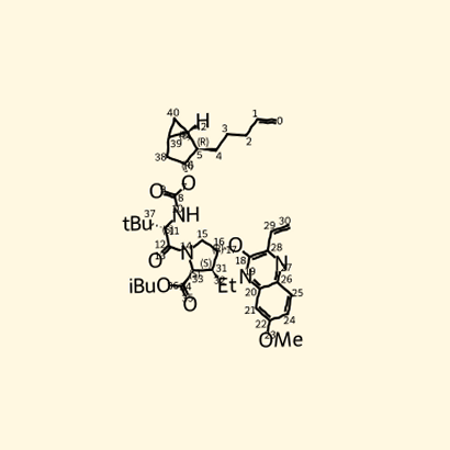 C=CCCC[C@H]1[C@H](OC(=O)N[C@H](C(=O)N2C[C@H](Oc3nc4cc(OC)ccc4nc3C=C)[C@@H](CC)[C@H]2C(=O)OCC(C)C)C(C)(C)C)CC2C[C@@H]21